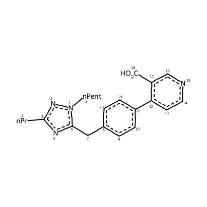 CCCCCn1nc(CCC)nc1Cc1ccc(-c2ccncc2C(=O)O)cc1